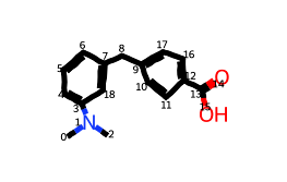 CN(C)c1cccc(Cc2ccc(C(=O)O)cc2)c1